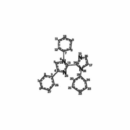 c1ccc(-c2cn(-c3ccccc3)c(-c3nccn3-c3ccccc3)n2)cc1